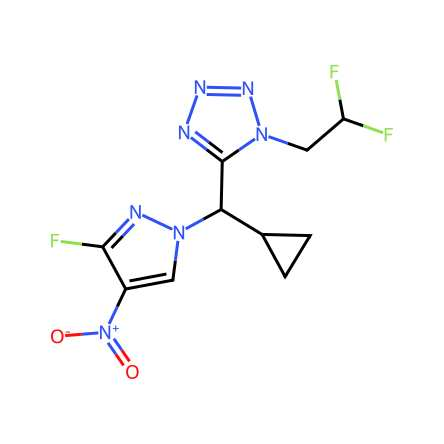 O=[N+]([O-])c1cn(C(c2nnnn2CC(F)F)C2CC2)nc1F